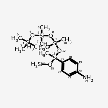 C[Si](C)(C)O[Si](C)(C)O[Si](C)(C)O[Si](C)(O[SiH3])c1ccc(N)cc1